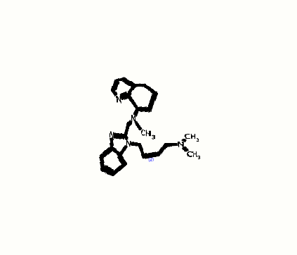 CN(C)C/C=C\Cn1c(CN(C)C2CCCc3cccnc32)nc2ccccc21